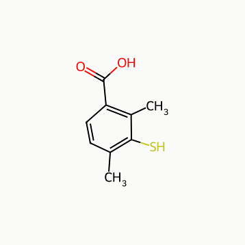 Cc1ccc(C(=O)O)c(C)c1S